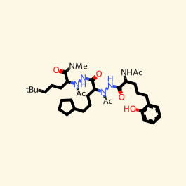 CNC(=O)C(CCCC(C)(C)C)N(NC(=O)C(CCCC1CCCC1)N(NC(=O)C(CCCc1ccccc1O)NC(C)=O)C(C)=O)C(C)=O